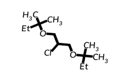 CCC(C)(C)OCC(Cl)COC(C)(C)CC